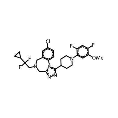 COc1cc(N2CCC(c3nnc4n3-c3ccc(Cl)cc3CN(CC(F)(F)C3CC3)C4)CC2)c(F)cc1F